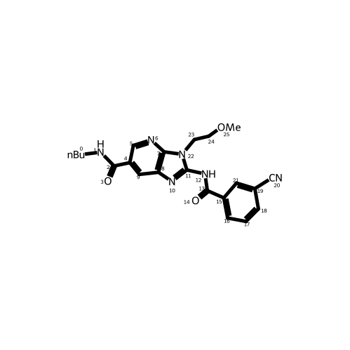 CCCCNC(=O)c1cnc2c(c1)nc(NC(=O)c1cccc(C#N)c1)n2CCOC